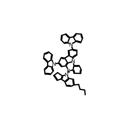 CCCCc1ccc2c3c(n(B4c5ccccc5-n5c6ccc(-n7c8ccccc8c8ccccc87)cc6c6cc(-n7c8ccccc8c8ccccc87)cc4c65)c2c1)CC=C3